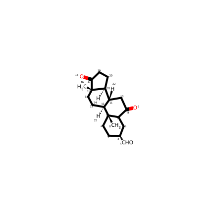 C[C@]12CC[C@H](C=O)CC1C(=O)C[C@@H]1[C@@H]2CC[C@]2(C)C(=O)CC[C@@H]12